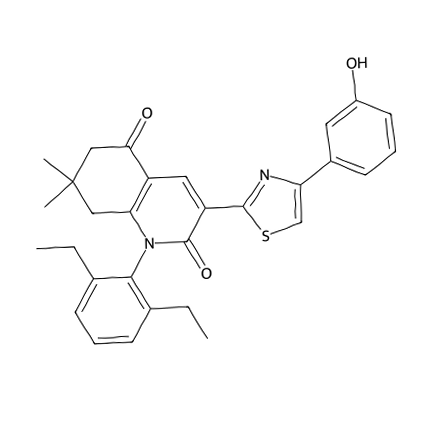 CCc1cccc(CC)c1-n1c2c(cc(-c3nc(-c4cccc(O)c4)cs3)c1=O)C(=O)CC(C)(C)C2